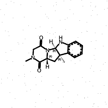 CN1CC(=O)N2[C@H](C[C@]3(C)c4ccccc4N[C@H]23)C1=O